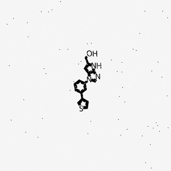 OCc1cc2c(ncn2-c2cccc(-c3ccsc3)c2)[nH]1